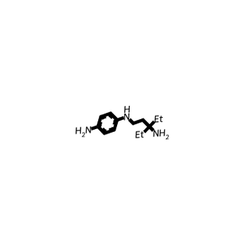 CCC(N)(CC)CCNc1ccc(N)cc1